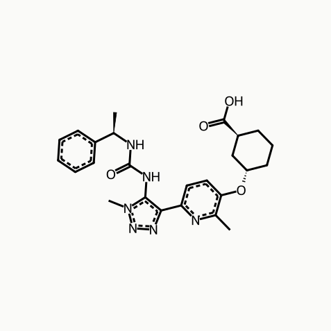 Cc1nc(-c2nnn(C)c2NC(=O)N[C@H](C)c2ccccc2)ccc1O[C@H]1CCC[C@H](C(=O)O)C1